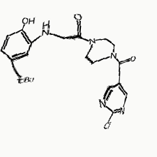 CC(C)(C)c1ccc(O)c(NCC(=O)N2CCN(C(=O)c3cnc(Cl)nc3)CC2)c1